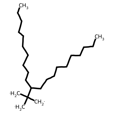 [CH2]C([CH2])([CH2])[C](CCCCCCCCCC)CCCCCCCCCC